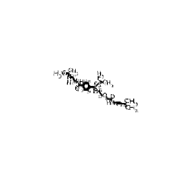 CC(C)C#CNC(=O)COCCOC(SSC(C)C)c1ccc(C(=O)NCCNC(C)C)cc1